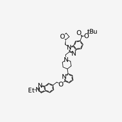 CCn1cc2ccc(COc3cccc(C4CCN(Cc5nc6ccc(C(=O)OC(C)(C)C)cc6n5C[C@@H]5CCO5)CC4)n3)cc2n1